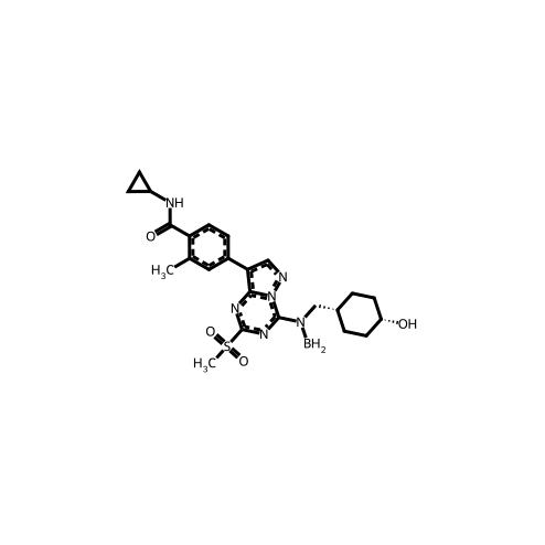 BN(C[C@H]1CC[C@@H](O)CC1)c1nc(S(C)(=O)=O)nc2c(-c3ccc(C(=O)NC4CC4)c(C)c3)cnn12